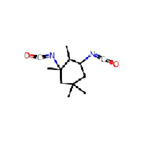 CC1C(N=C=O)CC(C)(C)CC1(C)N=C=O